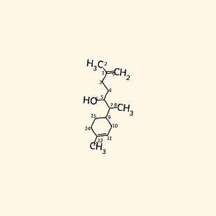 C=C(C)CCC(O)C(C)C1CC=C(C)CC1